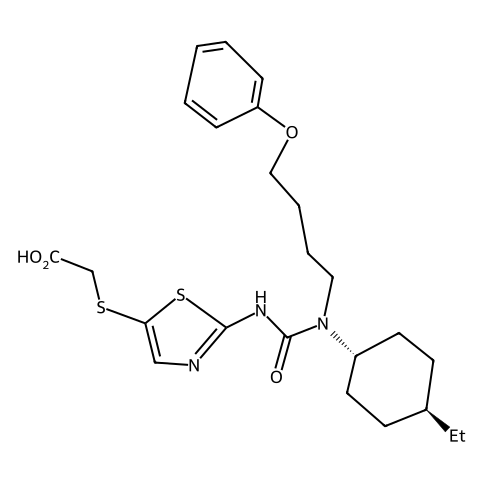 CC[C@H]1CC[C@H](N(CCCCOc2ccccc2)C(=O)Nc2ncc(SCC(=O)O)s2)CC1